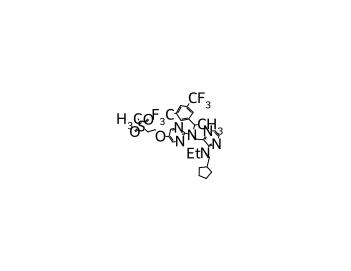 CCN(CC1CCCC1)c1nccnc1CN(c1ncc(OCCS(C)(=O)=O)cn1)C(C)c1cc(C(F)(F)F)cc(C(F)(F)F)c1